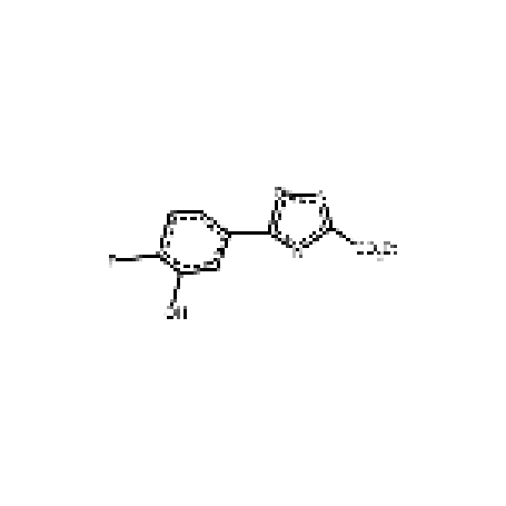 CCOC(=O)c1noc(-c2ccc(F)c(O)c2)n1